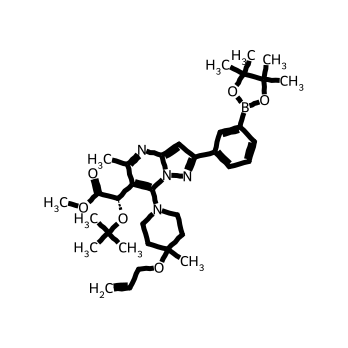 C=CCOC1(C)CCN(c2c([C@H](OC(C)(C)C)C(=O)OC)c(C)nc3cc(-c4cccc(B5OC(C)(C)C(C)(C)O5)c4)nn23)CC1